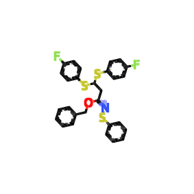 Fc1ccc(SC(C/C(=N/Sc2ccccc2)OCc2ccccc2)Sc2ccc(F)cc2)cc1